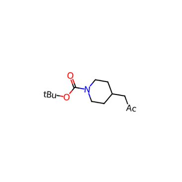 [CH2]C(=O)CC1CCN(C(=O)OC(C)(C)C)CC1